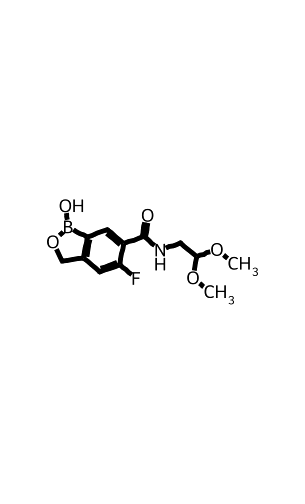 COC(CNC(=O)c1cc2c(cc1F)COB2O)OC